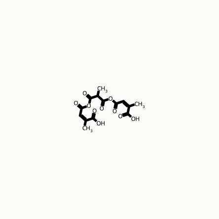 C/C(=C/C(=O)OC(=O)C(C)C(=O)OC(=O)/C=C(/C)C(=O)O)C(=O)O